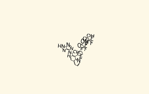 CC(Nc1ncnc2[nH]cnc12)c1ccc2cccnc2c1-c1ccccc1F.O=C(O)C(F)(F)F.O=C(O)C(F)(F)F